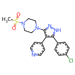 CS(=O)(=O)N1CCN(c2n[nH]c(-c3ccc(Cl)cc3)c2-c2ccncc2)CC1